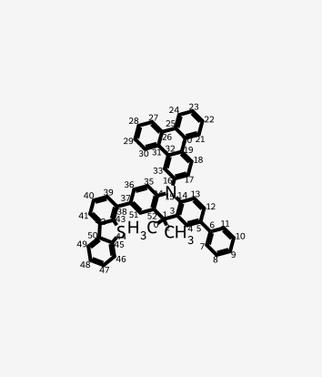 CC1(C)c2cc(-c3ccccc3)ccc2N(c2ccc3c4ccccc4c4ccccc4c3c2)c2ccc(-c3cccc4c3sc3ccccc34)cc21